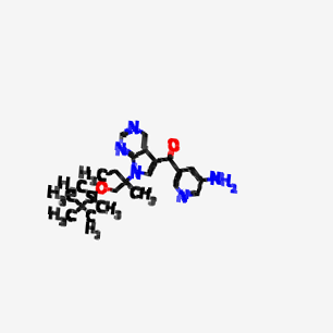 CCC(C)(CO[Si](C)(C)C(C)(C)C)n1cc(C(=O)c2cncc(N)c2)c2cncnc21